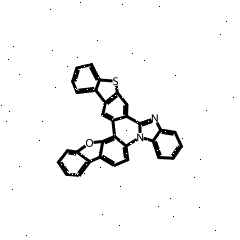 c1ccc2c(c1)nc1c3cc4sc5ccccc5c4cc3c3c4oc5ccccc5c4ccc3n21